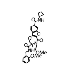 COCCN1C(=O)c2oc3cc(C(=O)NC4CCC4)ccc3c2OCC1(C)C(=O)NCc1ccccc1OC